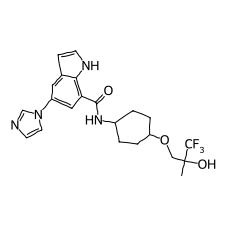 CC(O)(COC1CCC(NC(=O)c2cc(-n3ccnc3)cc3cc[nH]c23)CC1)C(F)(F)F